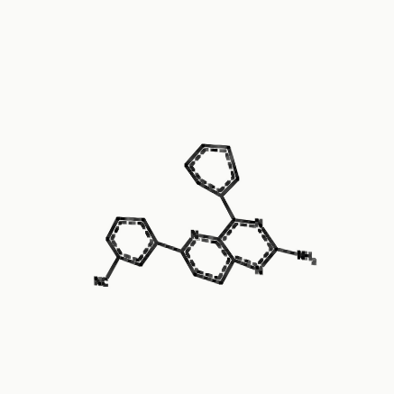 N#Cc1cccc(-c2ccc3nc(N)nc(-c4ccccc4)c3n2)c1